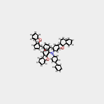 c1ccc(-c2ccc(N(c3cc4oc5c6ccccc6ccc5c4cc3-c3ccc(-c4cccc5c4oc4ccccc45)cc3)c3cccc4c3oc3ccccc34)cc2)cc1